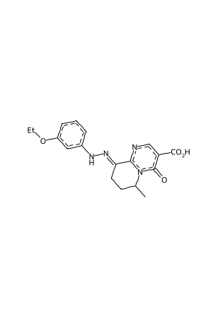 CCOc1cccc(NN=C2CCC(C)n3c2ncc(C(=O)O)c3=O)c1